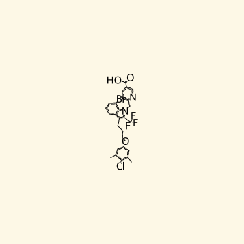 Cc1cc(OCCCc2c(C(F)(F)F)n(Cc3ccc(C(=O)O)cn3)c3c(Br)cccc23)cc(C)c1Cl